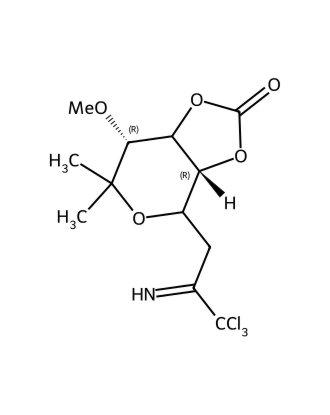 CO[C@@H]1C2OC(=O)O[C@@H]2C(CC(=N)C(Cl)(Cl)Cl)OC1(C)C